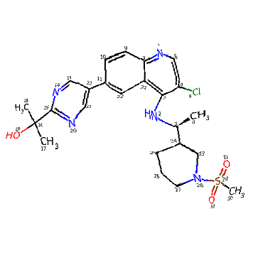 C[C@H](Nc1c(Cl)cnc2ccc(-c3cnc(C(C)(C)O)nc3)cc12)C1CCCN(S(C)(=O)=O)C1